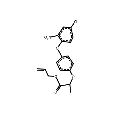 C=CCOC(=O)C(C)Oc1ccc(Oc2ccc(Cl)cc2[N+](=O)[O-])cc1